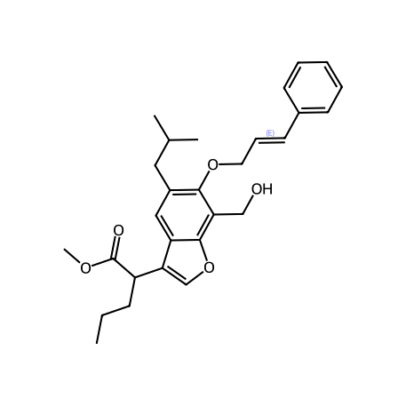 CCCC(C(=O)OC)c1coc2c(CO)c(OC/C=C/c3ccccc3)c(CC(C)C)cc12